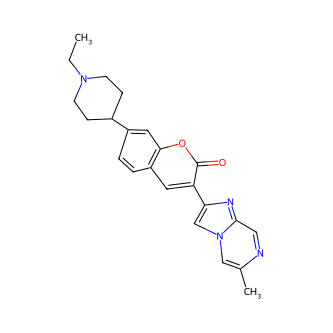 CCN1CCC(c2ccc3cc(-c4cn5cc(C)ncc5n4)c(=O)oc3c2)CC1